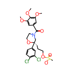 COc1cc(C(=O)N2CCO[C@](CCCOS(C)(=O)=O)(c3ccc(Cl)c(Cl)c3)C2)cc(OC)c1OC